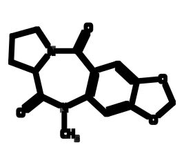 CN1C(=O)C2CCCN2C(=O)c2cc3c(cc21)OCO3